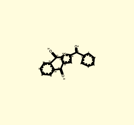 O=C(c1ccccc1)c1cc2c(s1)C(=O)c1ccccc1C2=O